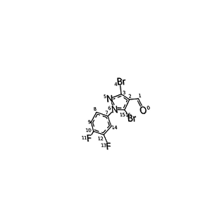 O=Cc1c(Br)nn(-c2ccc(F)c(F)c2)c1Br